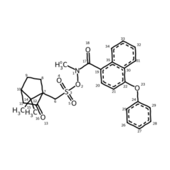 CN(OS(=O)(=O)CC12CCC(CC1=O)C2(C)C)C(=O)c1ccc(Oc2ccccc2)c2ccccc12